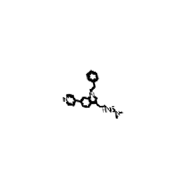 CN(C)SNCCc1cn(CCc2ccccc2)c2cc(-c3ccncc3)ccc12